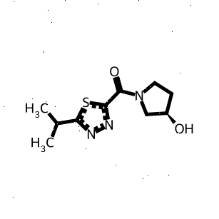 CC(C)c1nnc(C(=O)N2CC[C@@H](O)C2)s1